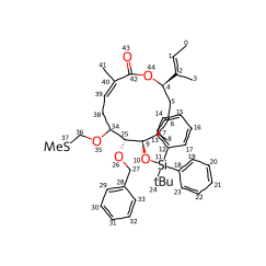 CC=C(C)[C@H]1CC=C(C)[C@@H](O[Si](c2ccccc2)(c2ccccc2)C(C)(C)C)[C@H](OCc2ccccc2)C(OCSC)CC=C(C)C(=O)O1